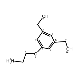 NCCOc1cc(CO)cc(CO)c1